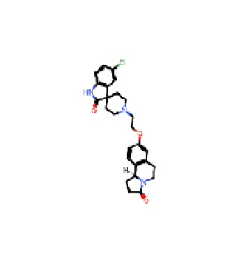 O=C1CC[C@H]2c3ccc(OCCN4CCC5(CC4)C(=O)Nc4ccc(Cl)cc45)cc3CCN12